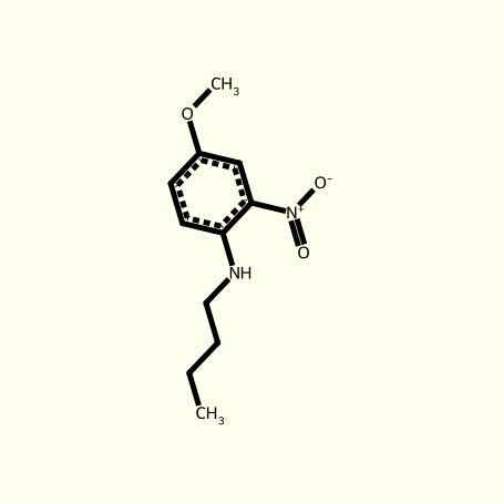 CCCCNc1ccc(OC)cc1[N+](=O)[O-]